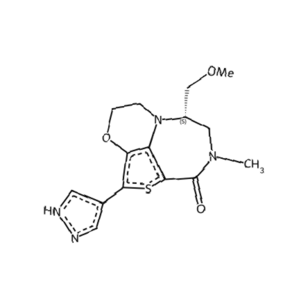 COC[C@@H]1CN(C)C(=O)c2sc(-c3cn[nH]c3)c3c2N1CCO3